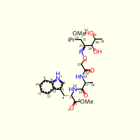 COC(=O)[C@H](Cc1c[nH]c2ccccc12)NC(=O)[C@H](C)NC(=O)CO/N=C(\C(O)C(C)O)[C@@H](OC)C(C)C